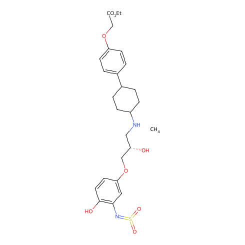 C.CCOC(=O)COc1ccc(C2CCC(NC[C@H](O)COc3ccc(O)c(N=S(=O)=O)c3)CC2)cc1